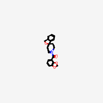 O=C(c1cccc2c1OCO2)N1CCC2(CC1)OCc1ccccc12